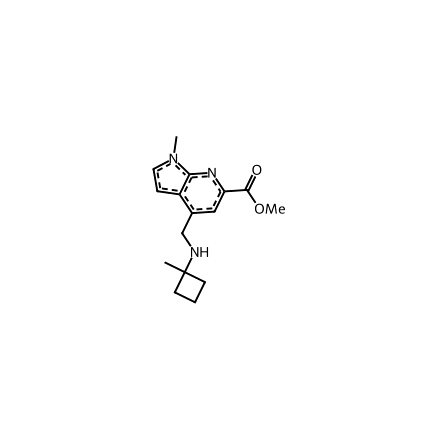 COC(=O)c1cc(CNC2(C)CCC2)c2ccn(C)c2n1